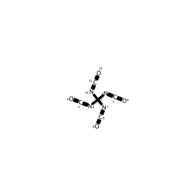 O=C=NC(N=C=O)(N=C=O)N=C=O